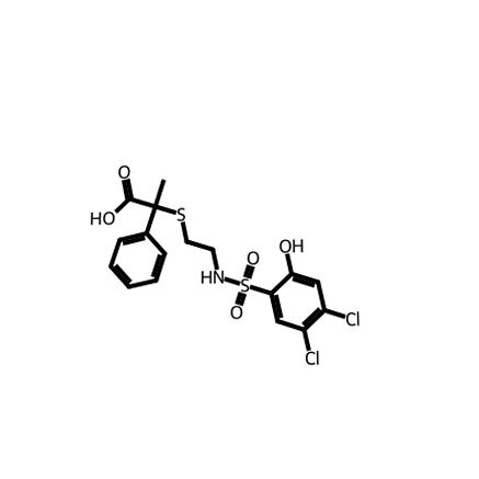 CC(SCCNS(=O)(=O)c1cc(Cl)c(Cl)cc1O)(C(=O)O)c1ccccc1